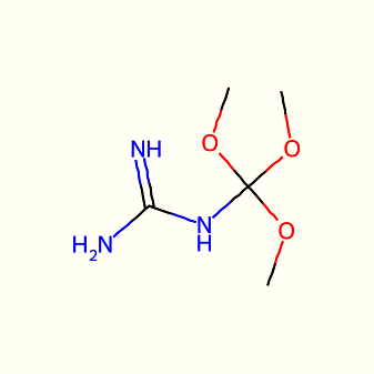 COC(NC(=N)N)(OC)OC